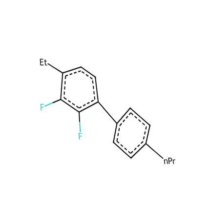 CCCc1ccc(-c2ccc(CC)c(F)c2F)cc1